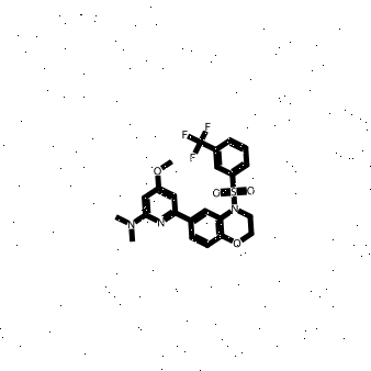 COc1cc(-c2ccc3c(c2)N(S(=O)(=O)c2cccc(C(F)(F)F)c2)CCO3)nc(N(C)C)c1